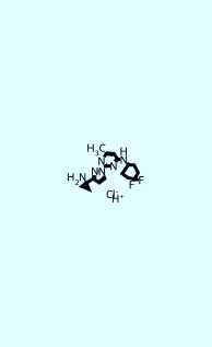 Cc1cc(NC2CCC(F)(F)CC2)nc(-n2ccc(C3(N)CC3)n2)n1.[Cl-].[H+]